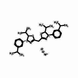 CC(C)c1cccc([C@H]2N=C(CC3=N[C@H](c4cccc(C(C)C)c4)C(C(C)C)O3)OC2C(C)C)c1.[Cl-].[Cl-].[Ni+2]